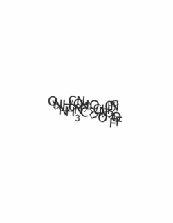 Cc1c(-c2nc3cc(CN4CCC[C@H]4C(=O)O)c(OC(F)F)cc3o2)cccc1-c1cccc(-c2nc3cc(CN4CC5(CCC(=O)N5)C4)cc(C#N)c3o2)c1C